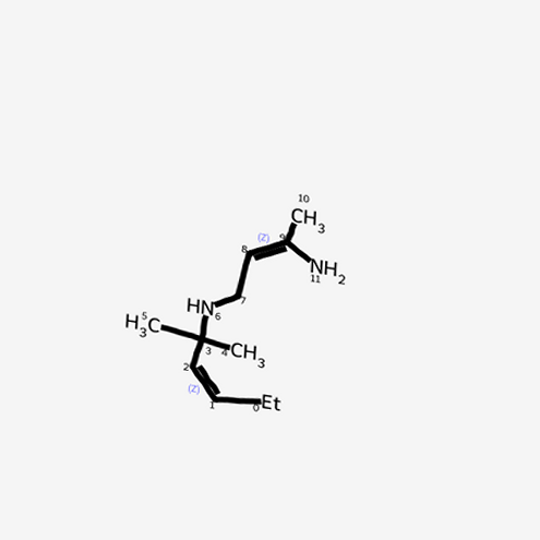 CC/C=C\C(C)(C)NC/C=C(/C)N